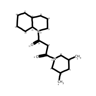 CC1CC(C)CN(C(=O)CC(=O)N2CCCC3CCCCC32)C1